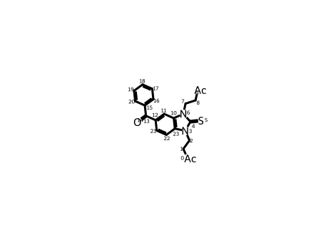 CC(=O)CCn1c(=S)n(CCC(C)=O)c2cc(C(=O)c3ccccc3)ccc21